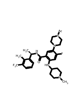 CC(=O)N1CCN(c2cc(C(=O)N[C@H](C)c3cccc(C(F)(F)F)c3C)c(NC3CCN(C)CC3)cc2F)CC1